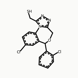 SCc1nnc2n1-c1ccc(Cl)cc1C(c1ccccc1Cl)OC2